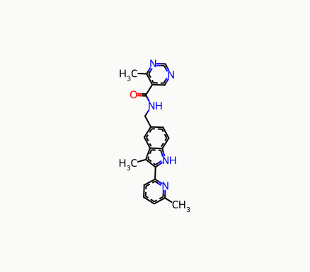 Cc1cccc(-c2[nH]c3ccc(CNC(=O)c4cncnc4C)cc3c2C)n1